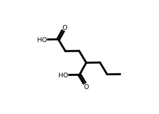 CCCC(CCC(=O)O)C(=O)O